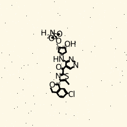 Cc1sc(C(=O)c2cncnc2N[C@@H]2C[C@H](COS(N)(=O)=O)[C@@H](O)C2)nc1[C@H]1OCCc2ccc(Cl)cc21